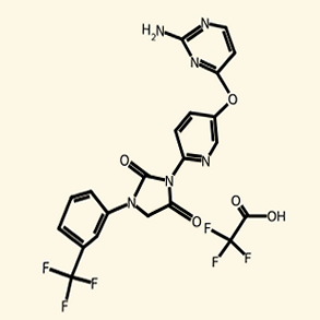 Nc1nccc(Oc2ccc(N3C(=O)CN(c4cccc(C(F)(F)F)c4)C3=O)nc2)n1.O=C(O)C(F)(F)F